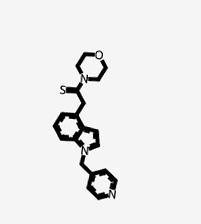 S=C(Cc1cccc2c1ccn2Cc1ccncc1)N1CCOCC1